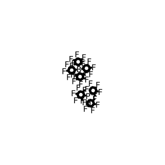 Fc1c(F)c(F)c([B-](c2c(F)c(F)c(F)c(F)c2F)(c2c(F)c(F)c(F)c(F)c2F)c2c(F)c(F)c(F)c(F)c2F)c(F)c1F.Fc1c(F)c(F)c([PH+](c2c(F)c(F)c(F)c(F)c2F)c2c(F)c(F)c(F)c(F)c2F)c(F)c1F